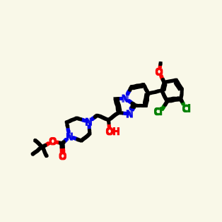 COc1ccc(Cl)c(Cl)c1-c1ccn2cc(C(O)CN3CCN(C(=O)OC(C)(C)C)CC3)nc2c1